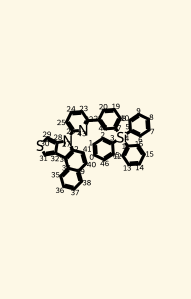 c1ccc([Si](c2ccccc2)(c2ccccc2)c2cccc(-c3cccc(-n4c5cscc5c5c6ccccc6ccc54)n3)c2)cc1